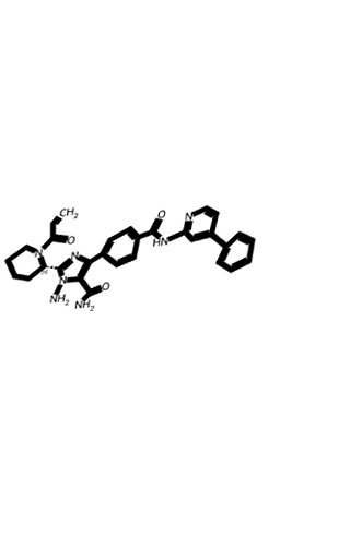 C=CC(=O)N1CCCC[C@H]1c1nc(-c2ccc(C(=O)Nc3cc(-c4ccccc4)ccn3)cc2)c(C(N)=O)n1N